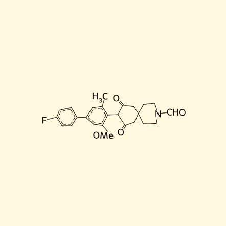 COc1cc(-c2ccc(F)cc2)cc(C)c1C1C(=O)CC2(CCN(C=O)CC2)CC1=O